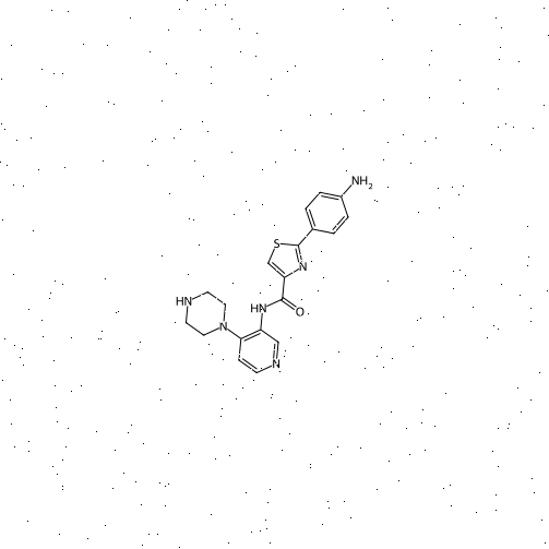 Nc1ccc(-c2nc(C(=O)Nc3cnccc3N3CCNCC3)cs2)cc1